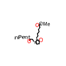 CCCCCC(=O)CC[C@H]1CCC(=O)[C@@H]1CCCCCCC(=O)OC